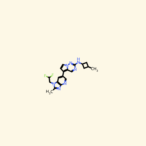 Cc1nc2ncc(-c3ccn4nc(NC5CC(C)C5)ncc34)cc2n1CC(F)F